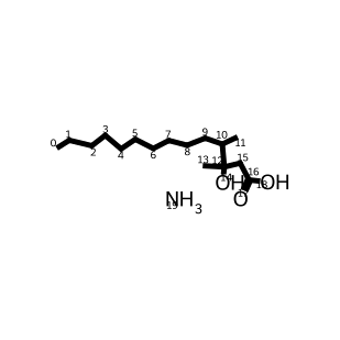 CCCCCCCCCCC(C)C(C)(O)CC(=O)O.N